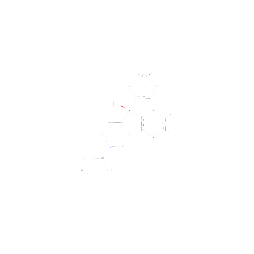 CC(C)(C)OC(=O)N1CCC([C@](O)(c2ccccc2)c2ccc(F)cc2)CC1